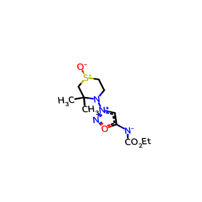 CCOC(=O)[N-]c1c[n+](N2CC[S+]([O-])CC2(C)C)no1